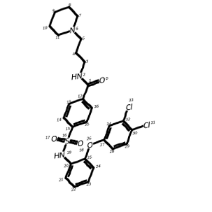 O=C(NCCCN1CCCCC1)c1ccc(S(=O)(=O)Nc2ccccc2Oc2ccc(Cl)c(Cl)c2)cc1